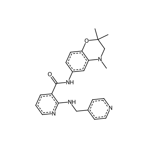 CN1CC(C)(C)Oc2ccc(NC(=O)c3cccnc3NCc3ccncc3)cc21